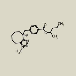 CCCC(C)OC(=O)c1ccc(CC2(F)CCCCCc3c2nnn3C)cc1